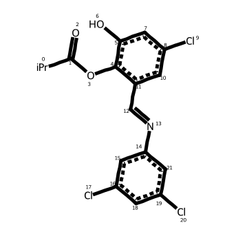 CC(C)C(=O)Oc1c(O)cc(Cl)cc1C=Nc1cc(Cl)cc(Cl)c1